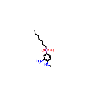 CCCCCCCP(=O)(O)c1ccc(NC)c(N)c1